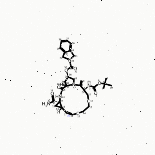 C=C1[C@@H](NC(=O)OC(C)(C)C)CCCCC/C=C\[C@@H]2C[C@@]2(C(N)=O)NC(=O)[C@@H]2C[C@@H](OC(=O)N3Cc4ccccc4C3)CN12